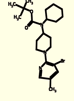 Cc1cnc(N2CCC(N(C(=O)OC(C)(C)C)C3CCCCC3)CC2)c(Br)c1